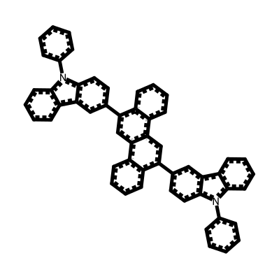 c1ccc(-n2c3ccccc3c3cc(-c4cc5c6ccccc6c(-c6ccc7c(c6)c6ccccc6n7-c6ccccc6)cc5c5ccccc45)ccc32)cc1